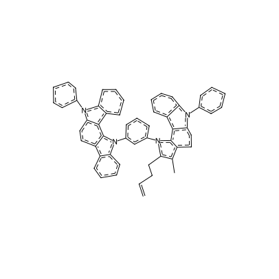 C=CCCc1c(C)c2ccc3c(c4ccccc4n3-c3ccccc3)c2n1-c1cccc(-n2c3ccccc3c3ccc4c(c5ccccc5n4-c4ccccc4)c32)c1